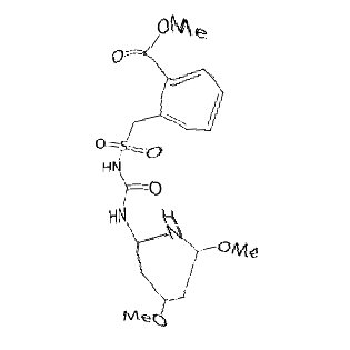 COC(=O)c1ccccc1CS(=O)(=O)NC(=O)NC1CC(OC)CC(OC)N1